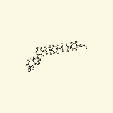 Nc1ccc(N2CCN(C3CCC4(CC3)CCN(c3cccc(C(=O)NC5CCC(=O)NC5=O)c3)CC4)CC2)cc1